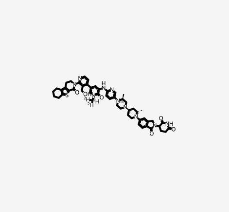 [2H]C([2H])([2H])n1cc(-c2ccnc(N3CCc4c(sc5c4CCCC5)C3=O)c2CO)cc(Nc2ccc(N3CCN([C@@H]4CCN(c5ccc6c(c5)CN(C5CCC(=O)NC5=O)C6=O)[C@@H](C)C4)C[C@@H]3C)cn2)c1=O